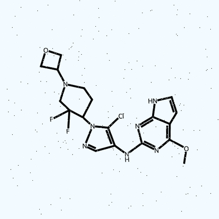 COc1nc(Nc2cnn(C3CCN(C4COC4)CC3(F)F)c2Cl)nc2[nH]ccc12